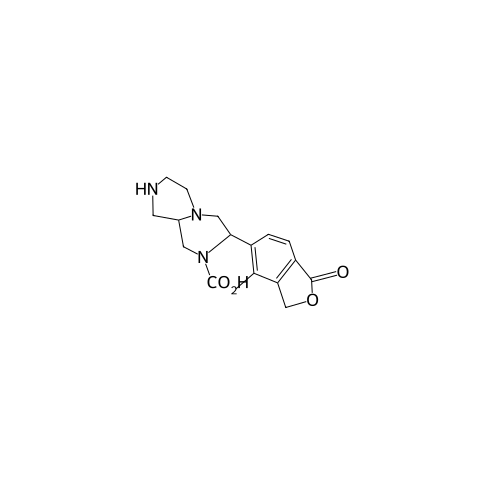 Cc1c(C2CN3CCNCC3CN2C(=O)O)ccc2c1COC2=O